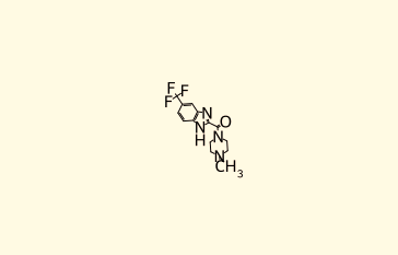 CN1CCN(C(=O)c2nc3cc(C(F)(F)F)ccc3[nH]2)CC1